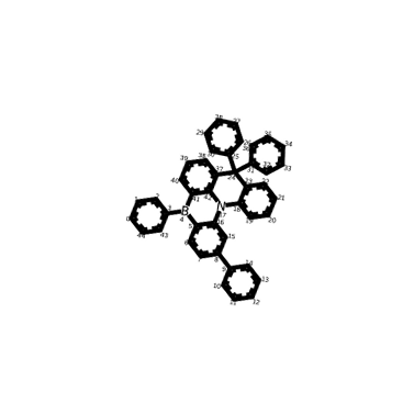 c1ccc(B2c3ccc(-c4ccccc4)cc3N3c4ccccc4C(c4ccccc4)(c4ccccc4)c4cccc2c43)cc1